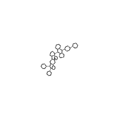 c1ccc(-c2ccc(-c3c4ccccc4c(-c4cccc5c4oc4cc6oc(-c7ccccc7)c(-c7ccccc7)c6cc45)c4ccccc34)cc2)cc1